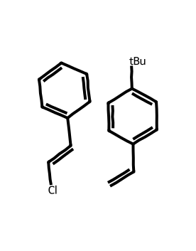 C=Cc1ccc(C(C)(C)C)cc1.ClC=Cc1ccccc1